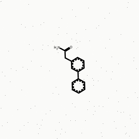 NC(=O)Cc1cccc(-c2ccccc2)c1